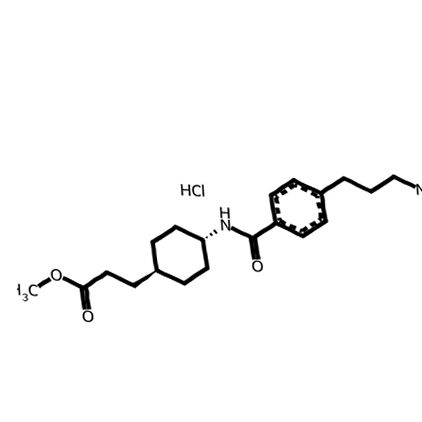 COC(=O)CC[C@H]1CC[C@H](NC(=O)c2ccc(CCCN)cc2)CC1.Cl